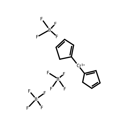 C1=CC[C]([Cr+3][C]2=CC=CC2)=C1.F[B-](F)(F)F.F[B-](F)(F)F.F[B-](F)(F)F